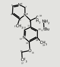 CC(C)(C)N.CC1=CC=NCN1C(C)c1cnc(OCC(F)(F)F)c(C)c1